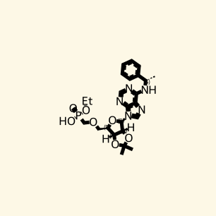 CCOP(=O)(O)COC[C@H]1O[C@@H](n2cnc3c(N[C@@H](C)c4ccccc4)ncnc32)[C@@H]2OC(C)(C)O[C@@H]21